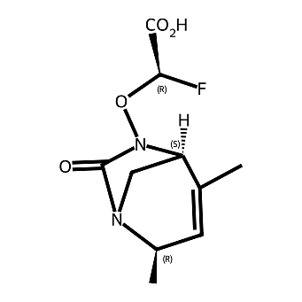 CC1=C[C@@H](C)N2C[C@H]1N(O[C@H](F)C(=O)O)C2=O